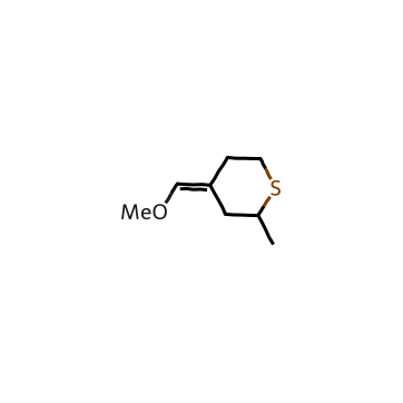 CO/C=C1/CCSC(C)C1